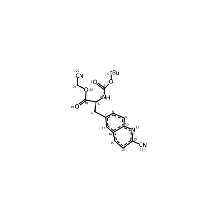 CC(C)(C)OC(=O)N[C@@H](Cc1ccc2nc(C#N)ccc2c1)C(=O)OCC#N